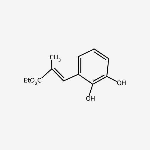 CCOC(=O)C(C)=Cc1cccc(O)c1O